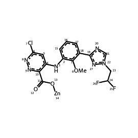 COc1c(Nc2cc(Cl)nnc2C(=O)[O][Zn])cccc1-c1ncn(CC(F)F)n1